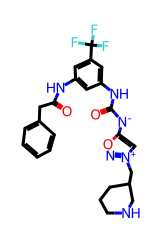 O=C(Cc1ccccc1)Nc1cc(NC(=O)[N-]c2c[n+](CC3CCCNC3)no2)cc(C(F)(F)F)c1